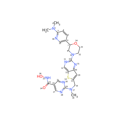 CN(C)c1ccc(C2CN(c3ncc4sc(CN(C)c5ncc(C(=O)NO)cn5)cc4n3)CCO2)cn1